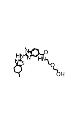 CC1CCc2nc(Nc3nc4cc(C(=O)NCCOCCO)ccc4n3C)sc2C1